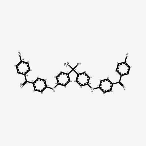 O=C(c1ccc(Cl)cc1)c1ccc(Oc2ccc(C(F)(c3ccc(Oc4ccc(C(=O)c5ccc(Cl)cc5)cc4)cc3)C(F)(F)F)cc2)cc1